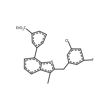 CCOC(=O)c1cccc(-c2cccc3c(C)c(Cc4cc(F)cc(Cl)c4)sc23)c1